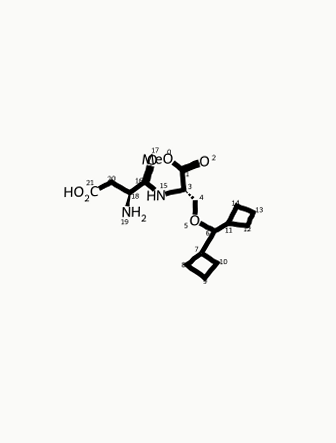 COC(=O)[C@H](COC(C1CCC1)C1CCC1)NC(=O)[C@@H](N)CC(=O)O